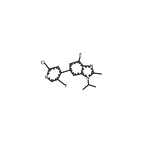 Cc1nc2c(F)cc(-c3cc(Cl)ncc3F)cc2n1C(C)C